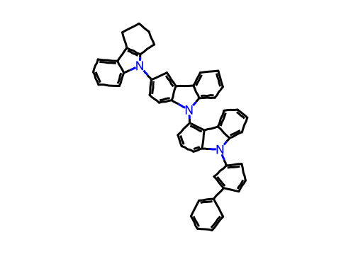 c1ccc(-c2cccc(-n3c4ccccc4c4c(-n5c6ccccc6c6cc(-n7c8c(c9ccccc97)CCCC8)ccc65)cccc43)c2)cc1